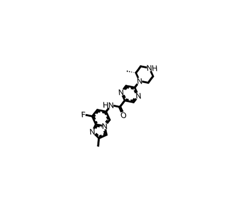 Cc1cn2cc(NC(=O)c3cnc(N4CCNC[C@H]4C)cn3)cc(F)c2n1